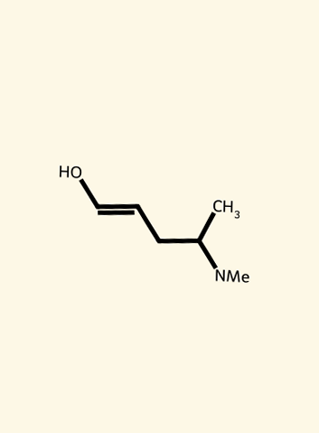 CNC(C)CC=CO